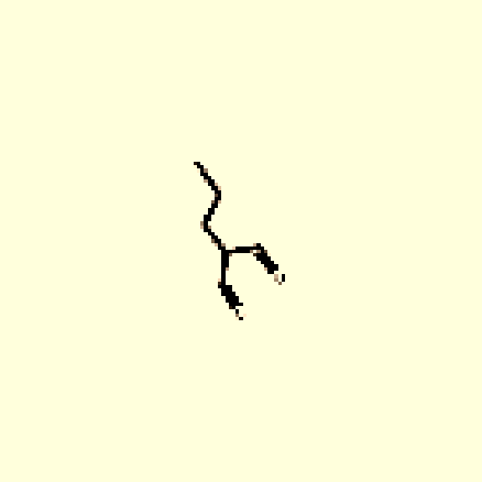 CCCC([C]=O)C=O